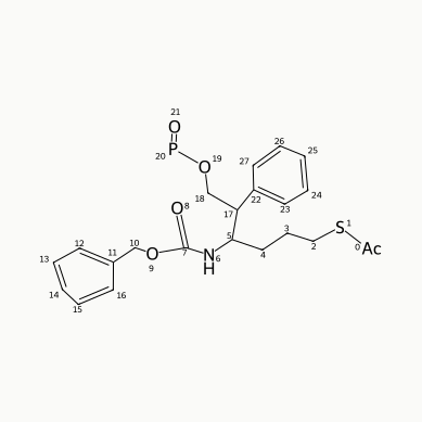 CC(=O)SCCCC(NC(=O)OCc1ccccc1)C(COP=O)c1ccccc1